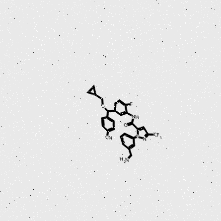 N#Cc1ccc(C(OCC2CC2)C2C=C(NC(=O)c3cc(C(F)(F)F)nn3-c3cccc(CN)c3)C(F)=CC2)cc1